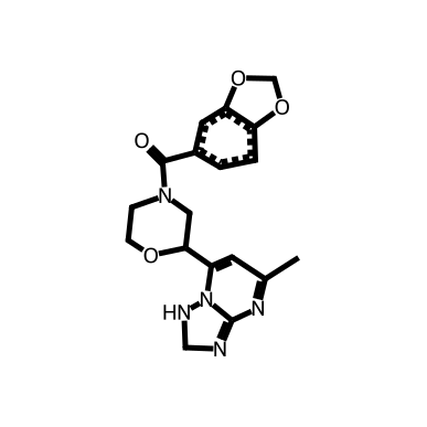 CC1=NC2=NCNN2C(C2CN(C(=O)c3ccc4c(c3)OCO4)CCO2)=C1